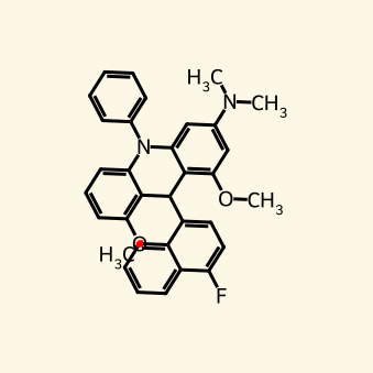 COc1cccc2c1C(c1ccc(F)c3ccccc13)c1c(OC)cc(N(C)C)cc1N2c1ccccc1